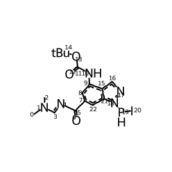 CN(C)/C=N/C(=O)c1cc(NC(=O)OC(C)(C)C)c2cnn(PI)c2c1